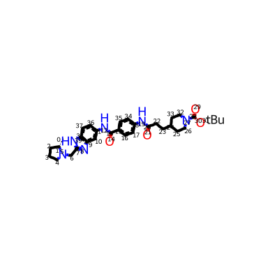 C[C@H]1CCCN1Cc1nc2cc(NC(=O)c3ccc(NC(=O)CCC4CCN(C(=O)OC(C)(C)C)CC4)cc3)ccc2[nH]1